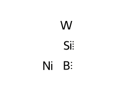 [B].[Ni].[Si].[W]